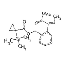 CC=C(C(=O)OC)c1ccccc1COC(=O)C1([Si](C)(C)C)CC1